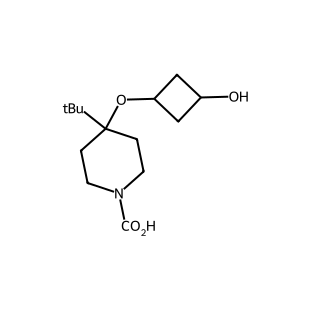 CC(C)(C)C1(OC2CC(O)C2)CCN(C(=O)O)CC1